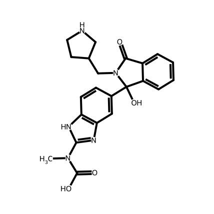 CN(C(=O)O)c1nc2cc(C3(O)c4ccccc4C(=O)N3CC3CCNC3)ccc2[nH]1